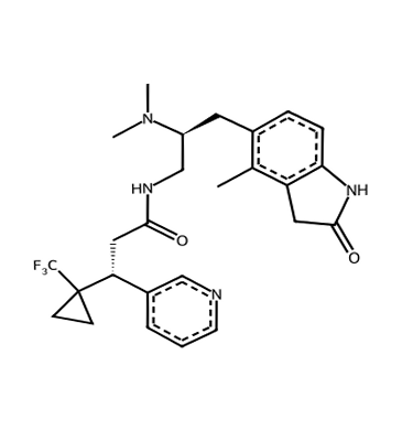 Cc1c(C[C@@H](CNC(=O)C[C@H](c2cccnc2)C2(C(F)(F)F)CC2)N(C)C)ccc2c1CC(=O)N2